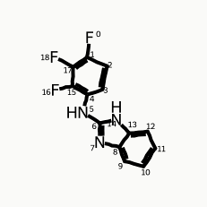 Fc1ccc(Nc2nc3ccccc3[nH]2)c(F)c1F